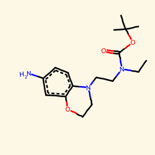 CCN(CCN1CCOc2cc(N)ccc21)C(=O)OC(C)(C)C